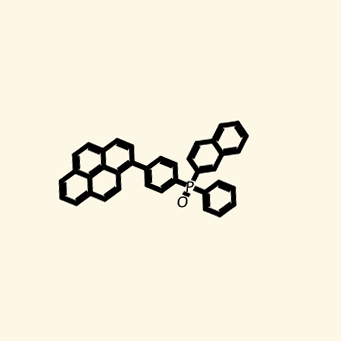 O=P(c1ccccc1)(c1ccc(-c2ccc3ccc4cccc5ccc2c3c45)cc1)c1ccc2ccccc2c1